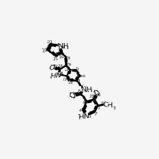 Cc1c[nH]cc(C(=O)Nc2ccc3c(c2)NC(=O)C3=Cc2ccc[nH]2)c1=O